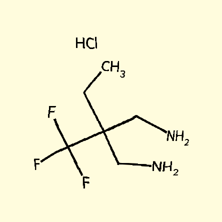 CCC(CN)(CN)C(F)(F)F.Cl